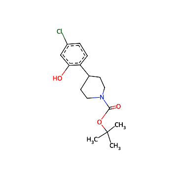 CC(C)(C)OC(=O)N1CCC(c2ccc(Cl)cc2O)CC1